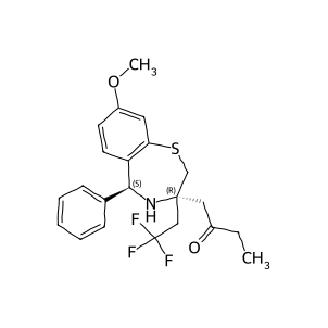 CCC(=O)C[C@@]1(CC(F)(F)F)CSc2cc(OC)ccc2[C@H](c2ccccc2)N1